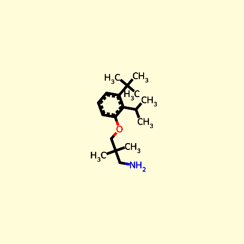 CC(C)c1c(OCC(C)(C)CN)cccc1C(C)(C)C